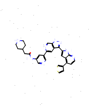 O=C(CC1CCNCC1)Nc1cncc(-c2cc3c(-c4cc5c(-c6ccsc6)ccnc5[nH]4)n[nH]c3cn2)c1